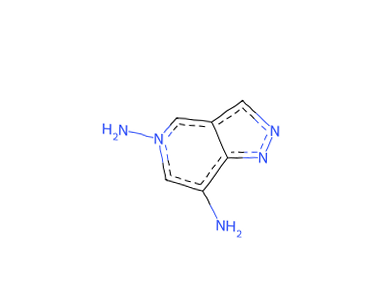 Nc1cn(N)cc2cnnc1-2